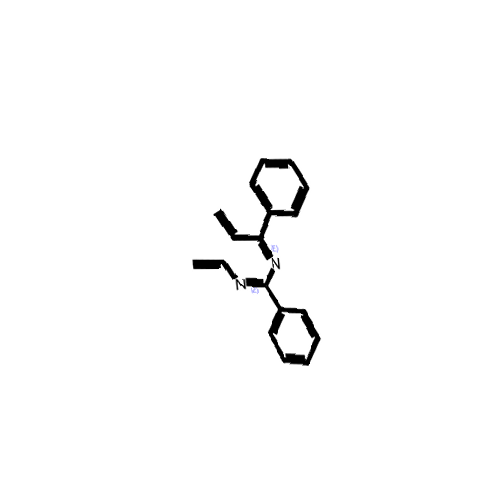 C=C/N=C(\N=C(/C=C)c1ccccc1)c1ccccc1